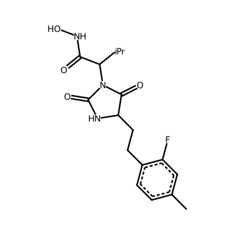 Cc1ccc(CCC2NC(=O)N(C(C(=O)NO)C(C)C)C2=O)c(F)c1